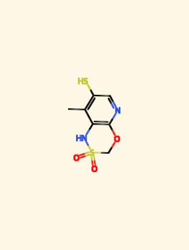 Cc1c(S)cnc2c1NS(=O)(=O)CO2